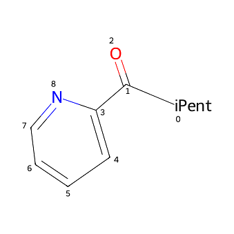 CCCC(C)C(=O)c1ccccn1